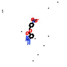 O=C(OCc1ccc([N+](=O)[O-])cc1)c1cccc2[nH]nnc12